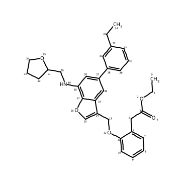 CCOC(=O)Cc1ccccc1OCc1coc2c(NCC3CCCO3)cc(-c3cccc(CC)c3)cc12